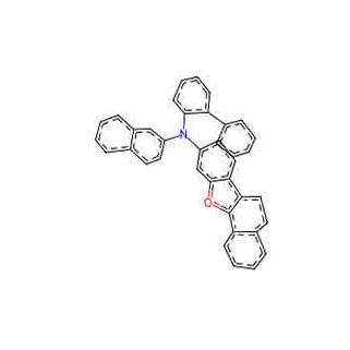 c1ccc(-c2ccccc2N(c2ccc3ccccc3c2)c2ccc3c(c2)oc2c4ccccc4ccc32)cc1